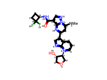 CNc1cc(-c2cnc3n([C@H]4COC[C@@H]4O)cccc2-3)nc2c(C(=O)N[C@@H]3CCC3(F)F)cnn12